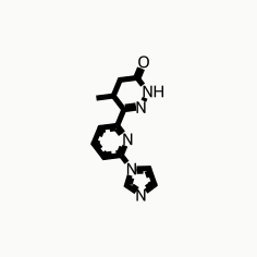 CC1CC(=O)NN=C1c1cccc(-n2ccnc2)n1